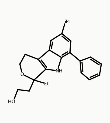 CCC1(CCO)OCCc2c1[nH]c1c(-c3ccccc3)cc(C(C)C)cc21